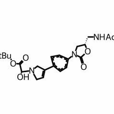 CC(=O)NC[C@H]1CN(c2ccc(C3=CCN([C@H](O)C(=O)OC(C)(C)C)C3)cc2)C(=O)O1